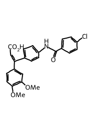 COc1ccc(/C(=C/C(=O)O)c2ccc(NC(=O)c3ccc(Cl)cc3)cc2)cc1OC